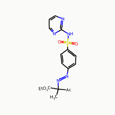 CCOC(=O)C(C)(/N=N/c1ccc(S(=O)(=O)Nc2ncccn2)cc1)C(C)=O